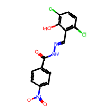 O=C(N/N=C/c1c(Cl)ccc(Cl)c1O)c1ccc([N+](=O)[O-])cc1